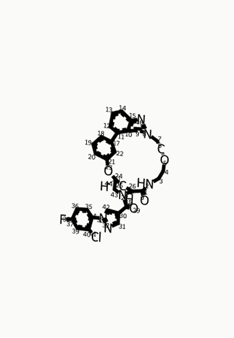 O=C1NCCOCCn2cc3c(cccc3n2)-c2cccc(c2)O[C@H]2C[C@@H]1N(C(=O)c1cnn(-c3ccc(F)cc3Cl)c1)C2